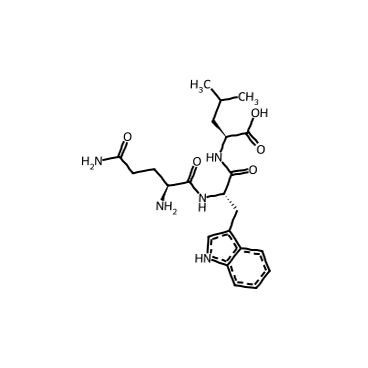 CC(C)C[C@H](NC(=O)[C@H](Cc1c[nH]c2ccccc12)NC(=O)[C@@H](N)CCC(N)=O)C(=O)O